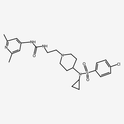 Cc1cc(NC(=O)NCCN2CCC(N(C3CC3)S(=O)(=O)c3ccc(Cl)cc3)CC2)cc(C)n1